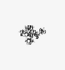 CS(=O)(=O)CCCS(=O)(=O)NC(=O)c1c(-c2ccc[nH]c2=O)c2cc(C(F)(F)F)ccc2n1Cc1ccccc1F